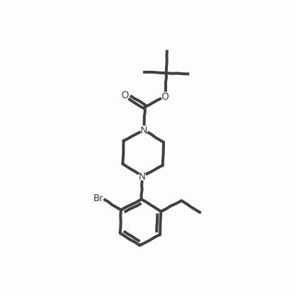 CCc1cccc(Br)c1N1CCN(C(=O)OC(C)(C)C)CC1